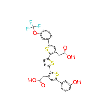 O=C(O)Cc1cc(-c2cccc(O)c2)sc1-c1ccc(-c2sc(-c3cccc(OC(F)(F)F)c3)cc2CC(=O)O)s1